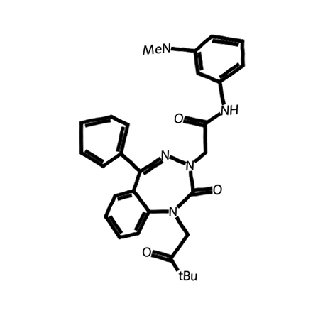 CNc1cccc(NC(=O)CN2N=C(c3ccccc3)c3ccccc3N(CC(=O)C(C)(C)C)C2=O)c1